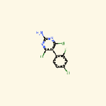 Nc1nc(Cl)c(-c2ccc(Cl)cc2Cl)c(Cl)n1